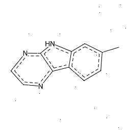 Cc1ccc2c(c1)[nH]c1nccnc12